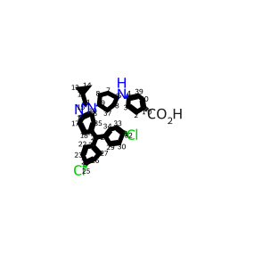 O=C(O)c1ccc(N[C@H]2CC[C@@H](n3c(C4CC4)nc4ccc(C(c5ccc(Cl)cc5)c5ccc(Cl)cc5)cc43)CC2)cc1